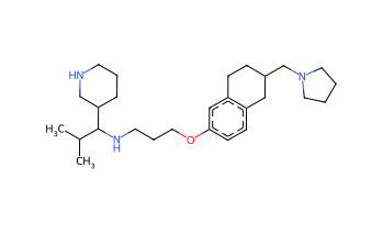 CC(C)C(NCCCOc1ccc2c(c1)CCC(CN1CCCC1)C2)C1CCCNC1